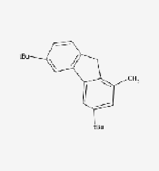 Cc1cc(C(C)(C)C)cc2c1Cc1ccc(C(C)(C)C)cc1-2